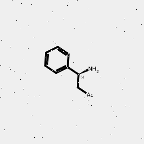 CC(=O)C[C@H](N)c1ccccc1